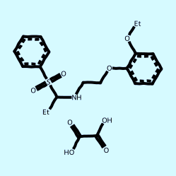 CCOc1ccccc1OCCNC(CC)S(=O)(=O)c1ccccc1.O=C(O)C(=O)O